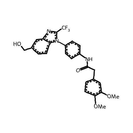 COc1ccc(CC(=O)Nc2ccc(-n3c(C(F)(F)F)nc4cc(CO)ccc43)cc2)cc1OC